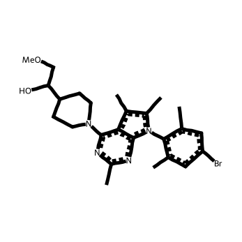 COCC(O)C1CCN(c2nc(C)nc3c2c(C)c(C)n3-c2c(C)cc(Br)cc2C)CC1